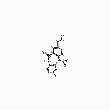 Cc1ccc2c(n1)N(C1CC1)c1ncc(CCO)cc1C(=O)N2